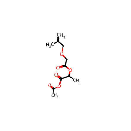 C=C(C)COCC(=O)OC(C)C(=O)OC(C)=O